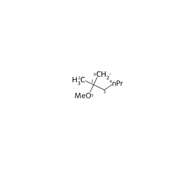 [CH2]C(C)(CCCC)OC